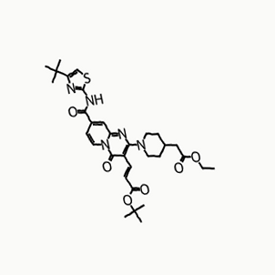 CCOC(=O)CC1CCN(c2nc3cc(C(=O)Nc4nc(C(C)(C)C)cs4)ccn3c(=O)c2C=CC(=O)OC(C)(C)C)CC1